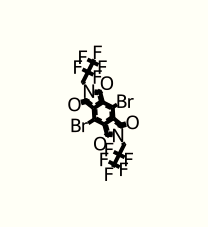 O=c1c2c(Br)c3c(=O)n(CC(F)(F)C(F)(F)F)c(=O)c3c(Br)c2c(=O)n1CC(F)(F)C(F)(F)F